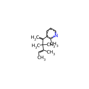 C=C(c1cccnc1C)C(C)(C)/C(C)=C/C